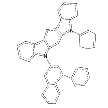 C1=CCCC(n2c3ccccc3c3cc4c5ccccc5n(-c5cc(-c6ccccc6)c6ccccc6c5)c4cc32)=C1